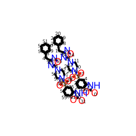 O=c1[nH]c2cc(S(=O)(=O)N3CCN(c4nc(Cc5ccccc5)no4)CC3)ccc2o1.O=c1[nH]c2cc(S(=O)(=O)N3CCN(c4nc(Cc5ccccc5)no4)CC3)ccc2o1